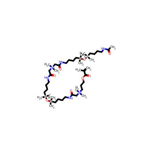 C=C(C)C(=O)OCCC[N+](C)(C)CC(=O)NCCCC[Si](C)(C)O[Si](C)(C)CCCCNC(=O)C[N+](C)(C)CC(=O)NCCCC[Si](C)(C)O[Si](C)(C)CCCCNC(C)=O